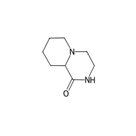 O=C1NCCN2CCCCC12